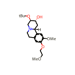 COCCOc1cc2c(cc1OC)[C@H]1C[C@@H](O)[C@H](OC(C)(C)C)CN1CC2